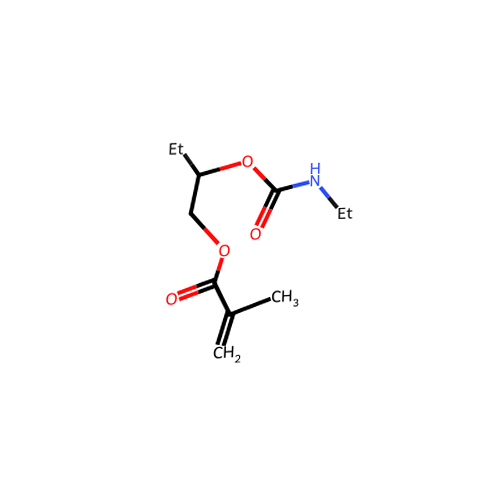 C=C(C)C(=O)OCC(CC)OC(=O)NCC